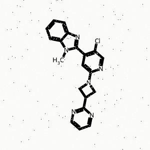 Cn1c(-c2cc(N3CC(c4ncccn4)C3)ncc2Cl)nc2ccccc21